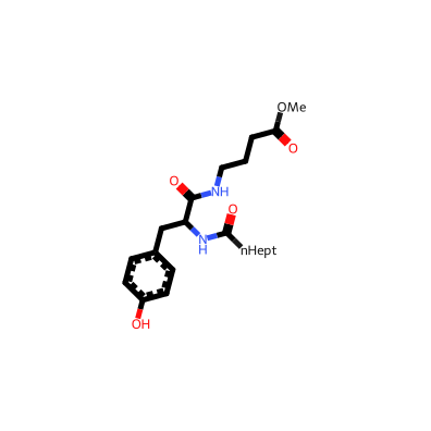 CCCCCCCC(=O)NC(Cc1ccc(O)cc1)C(=O)NCCCC(=O)OC